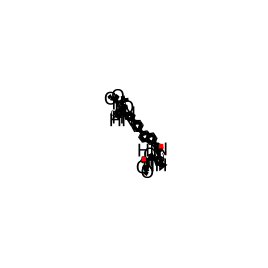 COC(=O)N[C@H](C(=O)N1C[C@@H](C)C[C@H]1c1ncc(-c2ccc(-c3ccc4cc(-c5cnc([C@@H]6CC7(CC7)CN6C(=O)[C@@H](NC(=O)OC)C(C)C)[nH]5)ccc4c3)cc2)[nH]1)C(C)C